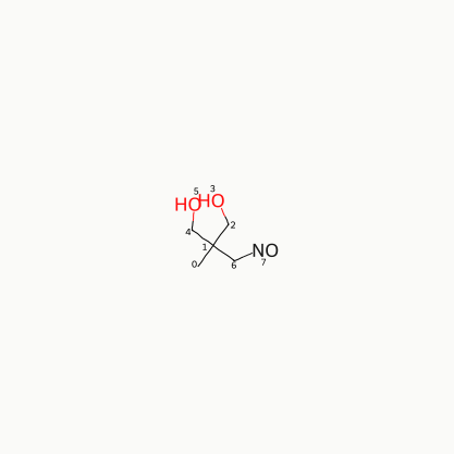 CC(CO)(CO)CN=O